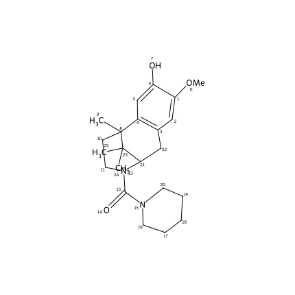 COc1cc2c(cc1O)C1(C)CCN(C(=O)N3CCCCC3)C(C2)C1(C)C